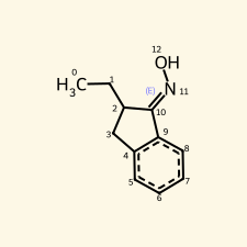 CCC1Cc2ccccc2/C1=N/O